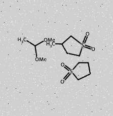 CC1CCS(=O)(=O)C1.COC(C)OC.O=S1(=O)CCCC1